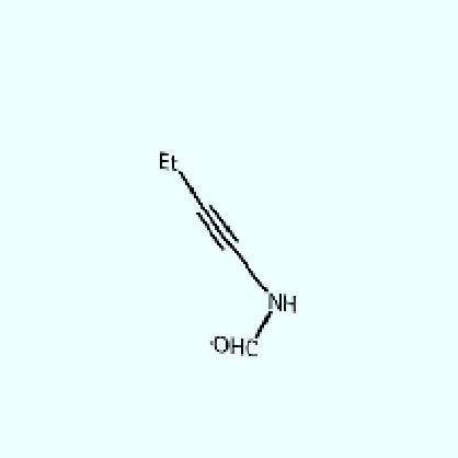 CCC#CN[C]=O